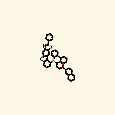 c1ccc(-c2nc3cc4oc5cccc(N(c6ccc(-c7ccc8ccccc8c7)cc6)c6ccccc6-c6ccccc6)c5c4cc3o2)cc1